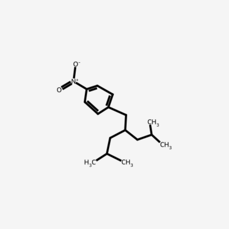 CC(C)CC(Cc1ccc([N+](=O)[O-])cc1)CC(C)C